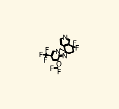 FC(F)OC1=CC(C(F)(F)F)=CN2C[C@@]3(CCC(F)(F)c4cnccc43)N=C12